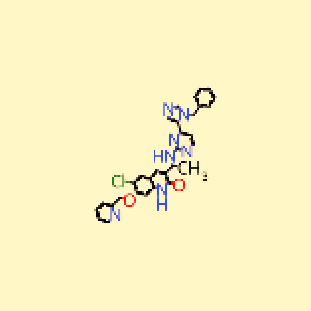 C[C@H](Nc1nccc(-c2cncn2Cc2ccccc2)n1)c1cc2cc(Cl)c(OCc3ccccn3)cc2[nH]c1=O